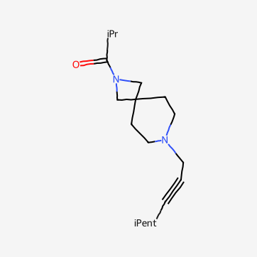 CCCC(C)C#CCN1CCC2(CC1)CN(C(=O)C(C)C)C2